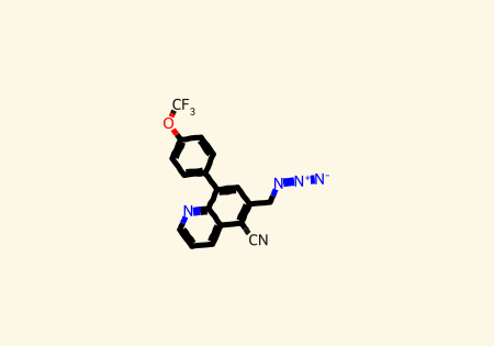 N#Cc1c(CN=[N+]=[N-])cc(-c2ccc(OC(F)(F)F)cc2)c2ncccc12